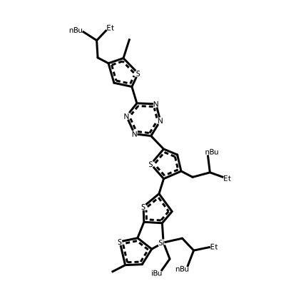 CCCCC(CC)Cc1cc(-c2nnc(-c3cc(CC(CC)CCCC)c(-c4cc5c(s4)-c4sc(C)cc4[Si]5(CC(C)CC)CC(CC)CCCC)s3)nn2)sc1C